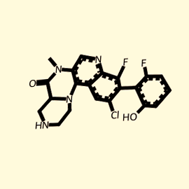 CN1C(=O)C2CNCCN2c2c1cnc1c(F)c(-c3c(O)cccc3F)c(Cl)cc21